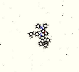 c1ccc(-c2ccc(N(c3ccc4c5ccccc5n(-c5ccccc5)c4c3)c3cc4c(cc3-c3ccccc3)C(c3ccccc3)(c3ccccc3)c3ccccc3-4)cc2)cc1